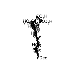 CCCCCCCCCCCCCCCC(=O)OC(COC(C)=O)COP(=O)(O)OCCCC(=O)CNC(=O)CNC(=O)CNC(=S)Nc1ccc(OC)c(C(C(=O)O)N2CCN(CC(=O)O)CCN(CC(=O)O)CCN(CC(=O)O)CC2)c1